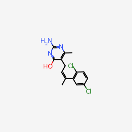 CC(=CCc1c(C)nc(N)nc1O)c1cc(Cl)ccc1Cl